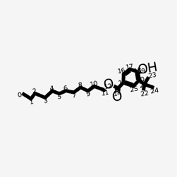 CCCCCCCCCCCCOC(=O)c1ccc(O)c(C(C)(C)C)c1